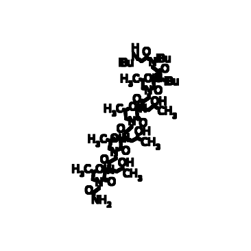 CCC(C)NCC(=O)N(CC(=O)N(CC(=O)N(CC(=O)N(CC(=O)N(CC(=O)N(CC(=O)N(CC(=O)N(CC(=O)N(CC(N)=O)CC(C)O)CC(C)O)CC(C)O)CC(C)O)CC(C)O)CC(C)O)CC(C)O)C(C)CC)C(C)CC